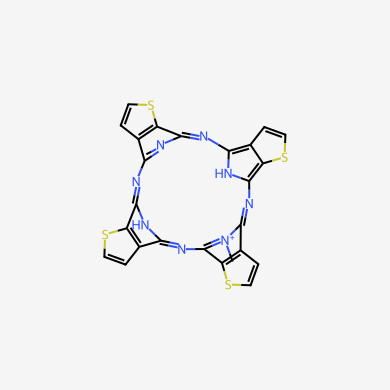 C[n+]1c2nc3[nH]c(nc4nc(nc5[nH]c(nc1-c1sccc1-2)c1ccsc51)-c1ccsc1-4)c1ccsc31